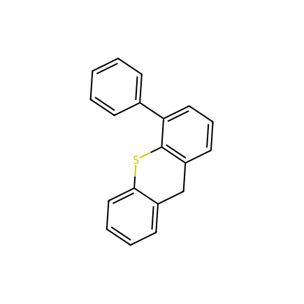 c1ccc(-c2cccc3c2Sc2ccccc2C3)cc1